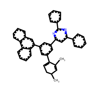 CC1=CC(C)CC=C1c1cc(-c2cc(-c3ccccc3)nc(-c3ccccc3)n2)cc(-c2cc3ccccc3c3ccccc23)c1